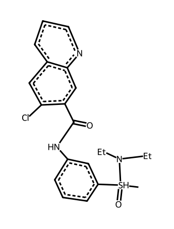 CCN(CC)[SH](C)(=O)c1cccc(NC(=O)c2cc3ncccc3cc2Cl)c1